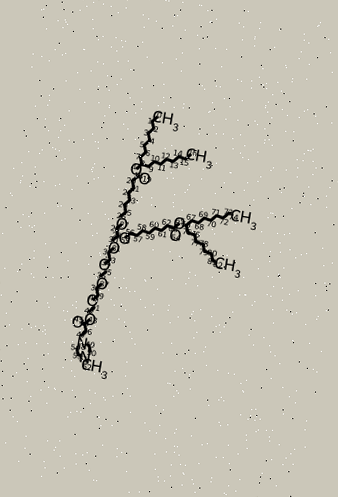 CCCCCCCCC(CCCCCCCC)OC(=O)CCCCCCCOCC(COCCOCCOCCOCCOC(=O)CCN1CCN(C)CC1)OCCCCCCCC(=O)OC(CCCCCCCC)CCCCCCCC